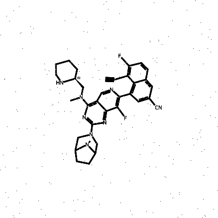 C#Cc1c(F)ccc2cc(C#N)cc(-c3ncc4c(N(C)C[C@@H]5CCCCN5)nc(N5CC6CCC(C5)N6C)nc4c3F)c12